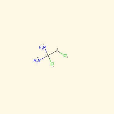 NC(N)(Cl)[CH]Cl